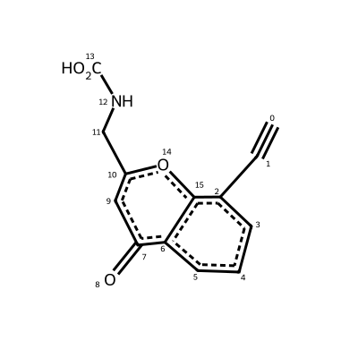 C#Cc1cccc2c(=O)cc(CNC(=O)O)oc12